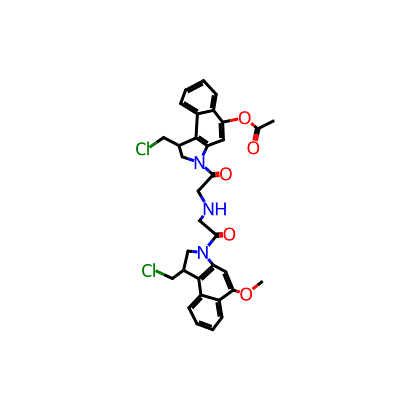 COc1cc2c(c3ccccc13)C(CCl)CN2C(=O)CNCC(=O)N1CC(CCl)c2c1cc(OC(C)=O)c1ccccc21